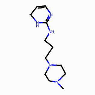 CN1CCN(CCCNC2=NC=C[CH]N2)CC1